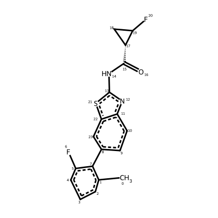 Cc1cccc(F)c1-c1ccc2nc(NC(=O)[C@@H]3CC3F)sc2c1